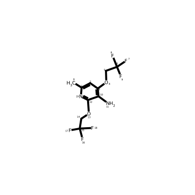 Cc1cc(OCC(F)(F)F)c(N)c(OCC(F)(F)F)n1